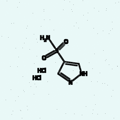 Cl.Cl.NS(=O)(=O)c1cn[nH]c1